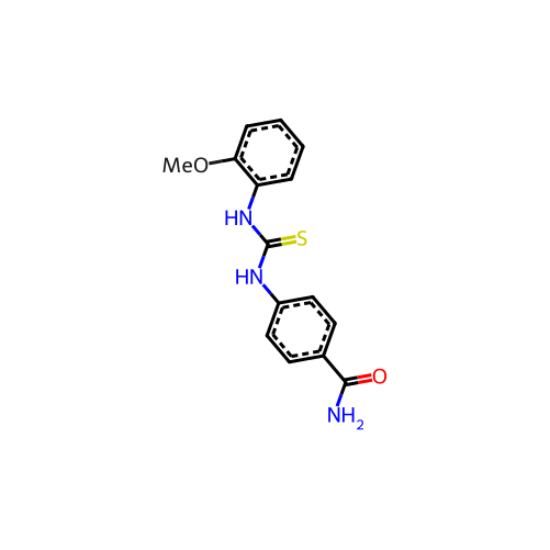 COc1ccccc1NC(=S)Nc1ccc(C(N)=O)cc1